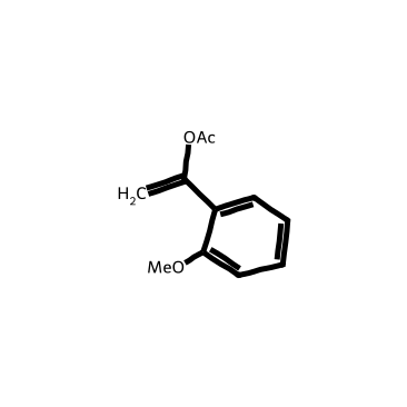 C=C(OC(C)=O)c1ccccc1OC